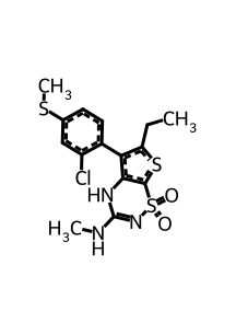 CCc1sc2c(c1-c1ccc(SC)cc1Cl)NC(NC)=NS2(=O)=O